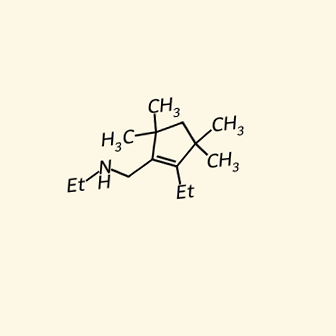 CCNCC1=C(CC)C(C)(C)CC1(C)C